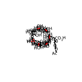 CN[C@H](CSCC1O[C@H]2O[C@@H]3C(CO)O[C@H](O[C@@H]4C(CO)O[C@H](O[C@@H]5C(CO)O[C@@H](O[C@@H]6C(CSC[C@@H](CC(=O)CCOCCOCCC(C)=O)C(=O)O)O[C@H](O[C@@H]7C(CO)O[C@@H](O[C@@H]8C(CO)O[C@@H](O[C@H]1[C@H](O)C2O)C(O)[C@H]8O)C(O)[C@H]7O)C(O)[C@H]6O)C(O)[C@H]5O)C(O)[C@H]4O)C(O)[C@H]3O)C(=O)O